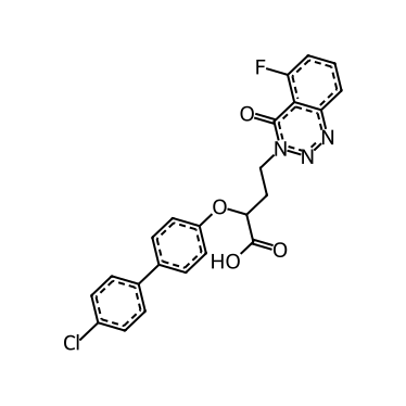 O=C(O)C(CCn1nnc2cccc(F)c2c1=O)Oc1ccc(-c2ccc(Cl)cc2)cc1